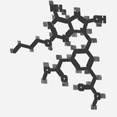 CCCCOc1nc(N)c2nc(O)n(Cc3cc(CC(=O)OC)cc(CC(=O)OC)c3)c2n1